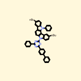 CCCCc1ccc2c(c1)c1c(ccc3c4cc(CCCC)ccc4n(-c4ccccc4)c31)n2-c1nc(-c2ccccc2)nc(-c2ccc(-c3ccccc3)cc2)n1